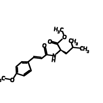 COC(=O)[C@@H](CC(C)C)NC(=O)C=Cc1ccc(OC)cc1